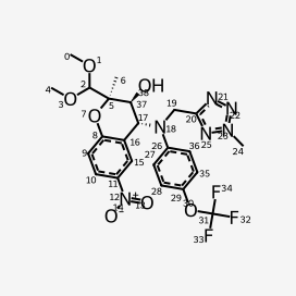 COC(OC)[C@]1(C)Oc2ccc([N+](=O)[O-])cc2[C@@H](N(Cc2nnn(C)n2)c2ccc(OC(F)(F)F)cc2)[C@@H]1O